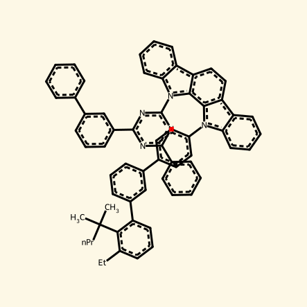 CCCC(C)(C)c1c(CC)cccc1-c1cccc(-c2ccc(-n3c4ccccc4c4ccc5c6ccccc6n(-c6nc(-c7ccccc7)nc(-c7cccc(-c8ccccc8)c7)n6)c5c43)cc2)c1